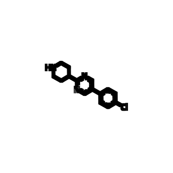 Clc1ccc(-c2cnc(C3CCNCC3)nc2)cc1